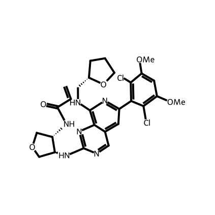 C=CC(=O)N[C@H]1COC[C@H]1Nc1ncc2cc(-c3c(Cl)c(OC)cc(OC)c3Cl)nc(NC[C@@H]3CCCO3)c2n1